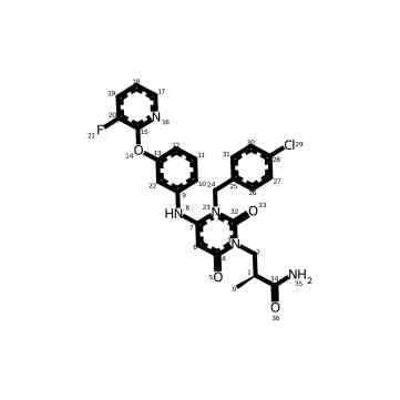 C[C@@H](Cn1c(=O)cc(Nc2cccc(Oc3ncccc3F)c2)n(Cc2ccc(Cl)cc2)c1=O)C(N)=O